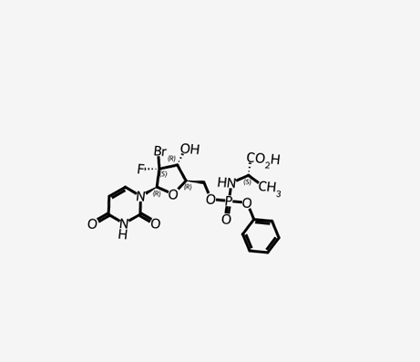 C[C@H](NP(=O)(OC[C@H]1O[C@@H](n2ccc(=O)[nH]c2=O)[C@@](F)(Br)[C@@H]1O)Oc1ccccc1)C(=O)O